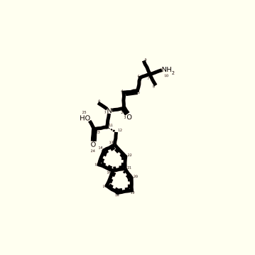 CN(C(=O)C=CCC(C)(C)N)[C@H](Cc1ccc2ccccc2c1)C(=O)O